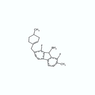 BC1c2c(ccc(C)c2F)-c2ccc(CC3=CCC(C)CC3)c(F)c21